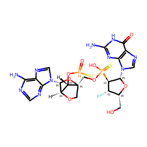 Nc1nc2c(ncn2[C@@H]2O[C@H](CO)[C@H](F)[C@H]2P(O)(=S)OC[C@@]23CO[C@@H]([C@H](n4cnc5c(N)ncnc54)O2)[C@@H]3O[PH](=O)S)c(=O)[nH]1